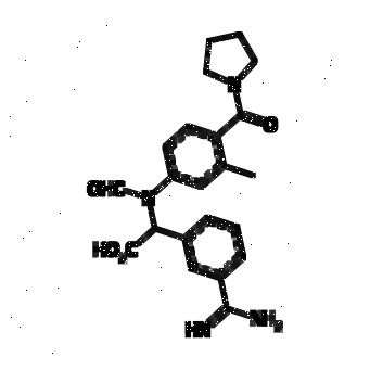 Cc1cc(N(C=O)C(C(=O)O)c2cccc(C(=N)N)c2)ccc1C(=O)N1CCCC1